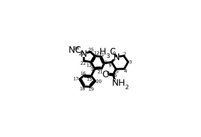 CN1CCCC(C(N)=O)C1c1cc2c(c(-c3ccccc3)c1)CN(C#N)C2